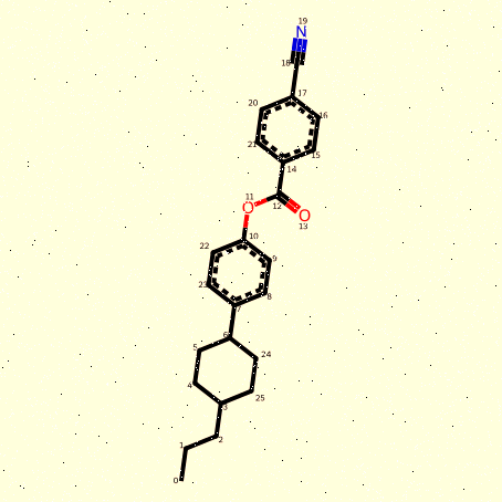 CCCC1CCC(c2ccc(OC(=O)c3ccc(C#N)cc3)cc2)CC1